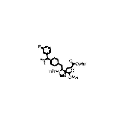 CCCN1C=NC(CCC(=O)OC)(C(=O)OC)C1CC1CCC(C(c2cccc(F)c2)N(C)C)CC1